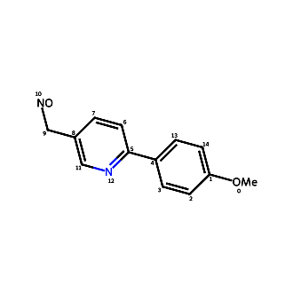 COc1ccc(-c2ccc(CN=O)cn2)cc1